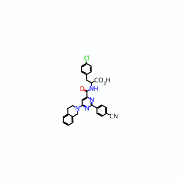 N#Cc1ccc(-c2nc(C(=O)NC(Cc3ccc(Cl)cc3)C(=O)O)cc(N3CCc4ccccc4C3)n2)cc1